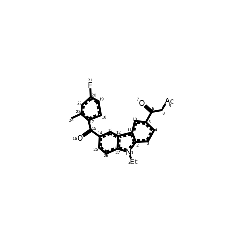 CCn1c2ccc(C(=O)CC(C)=O)cc2c2cc(C(=O)c3ccc(F)cc3C)ccc21